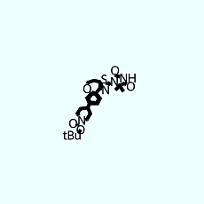 CC(C)(C)OC(=O)N1CCC(c2ccc3c(c2)OCCc2sc(N4C(=O)NC(=O)C4(C)C)nc2-3)CC1